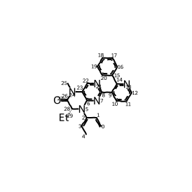 C=C/C(=C\C)N1c2nc(-c3cccnc3-c3ccccc3)ncc2N(C)C(=O)[C@H]1CC